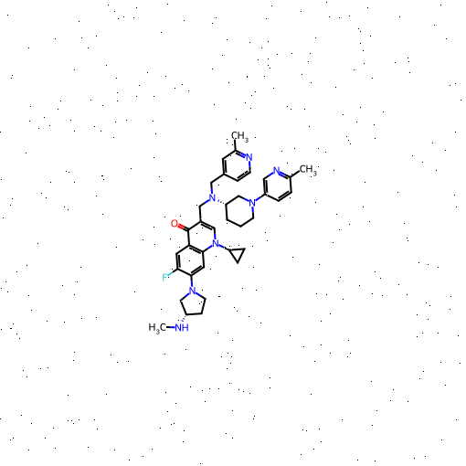 CN[C@H]1CCN(c2cc3c(cc2F)c(=O)c(CN(Cc2ccnc(C)c2)[C@H]2CCCN(c4ccc(C)nc4)C2)cn3C2CC2)C1